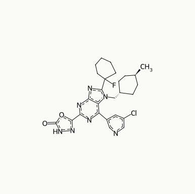 C[C@H]1CC[C@H](Cn2c(C3(F)CCCCC3)nc3nc(-c4n[nH]c(=O)o4)nc(-c4cncc(Cl)c4)c32)CC1